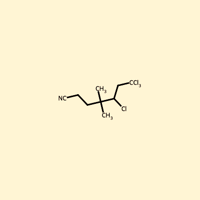 CC(C)(CCC#N)C(Cl)CC(Cl)(Cl)Cl